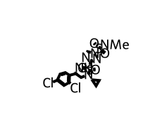 CNS(=O)(=O)n1cnc(S(=O)(=O)N(CC(=N)c2ccc(Cl)cc2Cl)C2CC2)n1